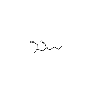 CCCC[C@H](C=O)CC(C)CO